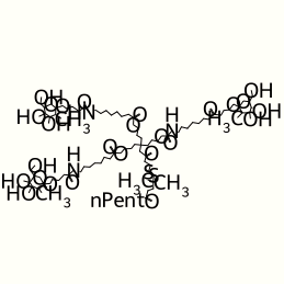 CCCCCC(=O)CCC(C)(C)SSCCC(=O)CC(CCCOC(=O)CCCCCCCNC(=O)CCCOC1OC(CO)C(O)C(O)C1C)(CCCOC(=O)CCCCCCCNC(=O)CCCOC1OC(CO)C(O)C(O)C1C)CCCOC(=O)NCCCCCCCC(=O)CCCOC1OC(CO)C(O)C(O)C1C